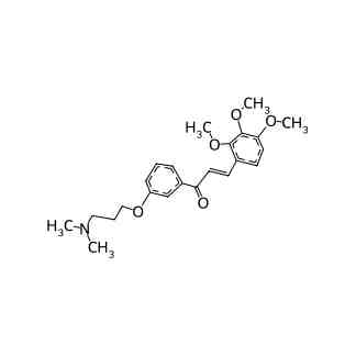 COc1ccc(C=CC(=O)c2cccc(OCCCN(C)C)c2)c(OC)c1OC